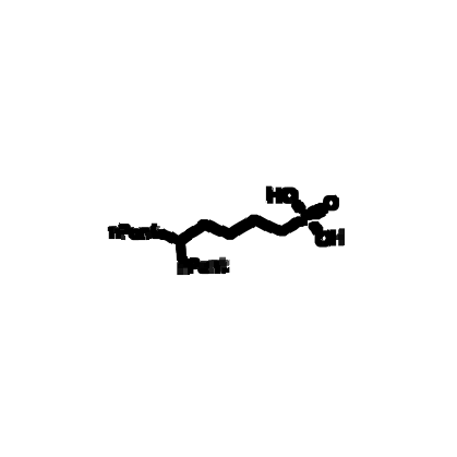 CCCCCC(CCCCC)CCCCP(=O)(O)O